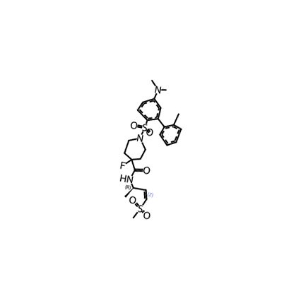 Cc1ccccc1-c1cc(N(C)C)ccc1S(=O)(=O)N1CCC(F)(C(=O)N[C@H](C)/C=C\S(C)(=O)=O)CC1